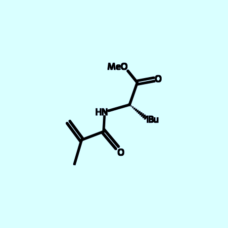 C=C(C)C(=O)N[C@H](C(=O)OC)C(C)CC